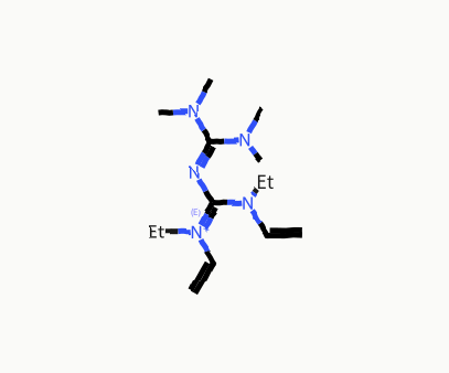 C=CN(CC)/C(N=C(N(C)C)N(C)C)=[N+](\C=C)CC